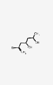 C=C(CC)CC(O)CC(C)O